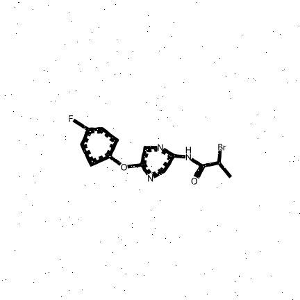 CC(Br)C(=O)Nc1cnc(Oc2ccc(F)cc2)cn1